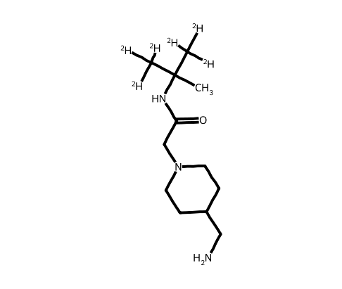 [2H]C([2H])([2H])C(C)(NC(=O)CN1CCC(CN)CC1)C([2H])([2H])[2H]